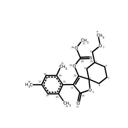 COCC1CCCC2(C1)OC(=O)C(c1c(C)cc(C)cc1C)=C2OC(=S)OC